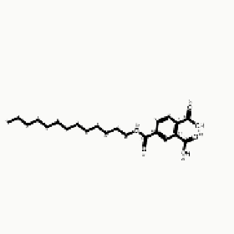 CCCCCCCCCCCCCOC(=O)c1ccc(C(=O)O)c(C(=O)O)c1